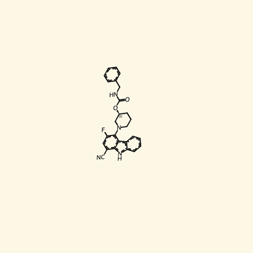 N#Cc1cc(F)c(N2CCC[C@H](OC(=O)NCc3ccccc3)C2)c2c1[nH]c1ccccc12